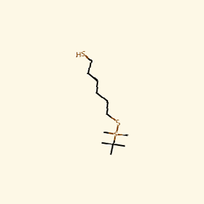 CC(C)(C)S(C)(C)SCCCCCCS